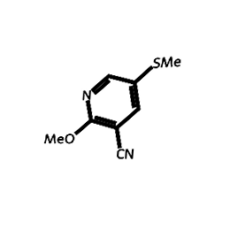 COc1ncc(SC)cc1C#N